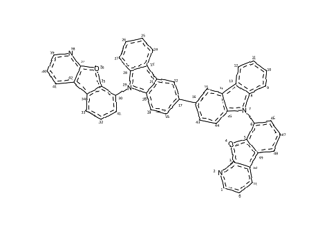 c1cnc2oc3c(-n4c5ccccc5c5cc(-c6ccc7c(c6)c6ccccc6n7-c6cccc7c6oc6ncccc67)ccc54)cccc3c2c1